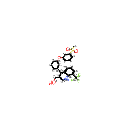 CS(=O)(=O)c1cccc(Oc2cccc(-c3c(CO)cnc4c(C(F)(F)F)cccc34)c2)c1